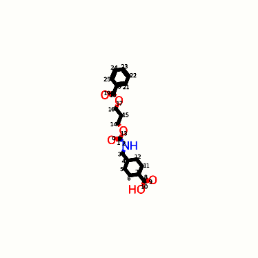 O=C(NCC1CCC(C(=O)O)CC1)OCCCOC(=O)c1ccccc1